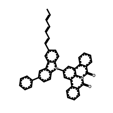 CC=CC=CC=Cc1ccc2c(c1)c1cc(-c3ccccc3)ccc1n2-c1cc2c3ccccc3c(=O)n3c(=O)c4ccccc4c(c1)c23